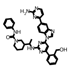 CC(Nc1nc(-c2ccccc2CO)cc(-n2cnc3cc(-c4ccnc(N)n4)ccc32)n1)C1CCCN(C(=O)Nc2ccccc2)C1